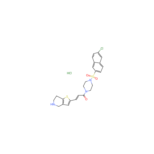 Cl.O=C(C=Cc1cc2c(s1)CCNC2)N1CCN(S(=O)(=O)c2ccc3cc(Cl)ccc3c2)CC1